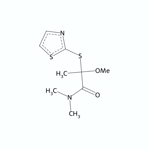 COC(C)(Sc1nccs1)C(=O)N(C)C